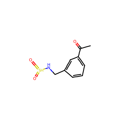 CC(=O)c1cccc(CN[SH](=O)=O)c1